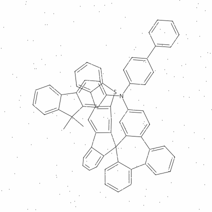 CC1(C)c2ccccc2-c2ccc(N(c3ccc(-c4ccccc4)cc3)c3ccc4c(c3)C3(c5ccccc5-c5ccccc5-4)c4ccccc4-c4cc5c(cc43)sc3ccccc35)cc21